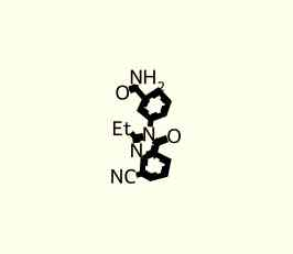 CCc1nc2c(C#N)cccc2c(=O)n1-c1cccc(C(N)=O)c1